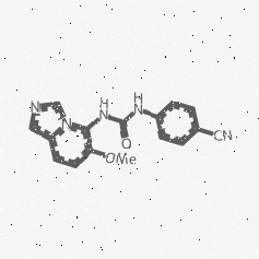 COc1ccc2cncn2c1NC(=O)Nc1ccc(C#N)cc1